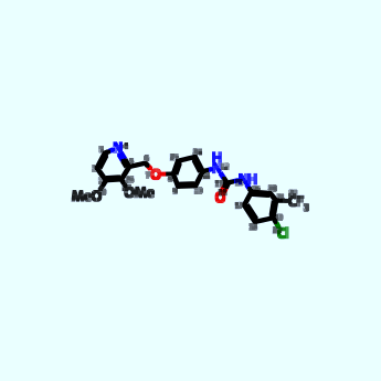 COc1ccnc(COc2ccc(NC(=O)Nc3ccc(Cl)c(C(F)(F)F)c3)cc2)c1OC